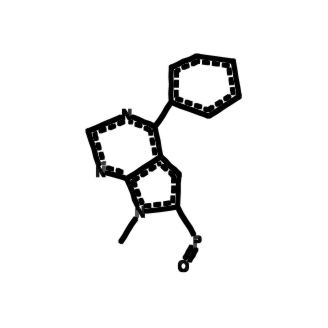 Cn1c(P=O)cc2c(-c3ccccc3)ncnc21